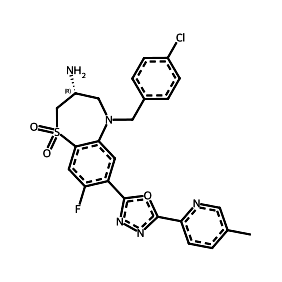 Cc1ccc(-c2nnc(-c3cc4c(cc3F)S(=O)(=O)C[C@H](N)CN4Cc3ccc(Cl)cc3)o2)nc1